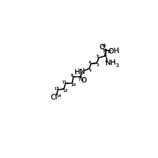 N[C@@H](CCCCNC(=O)CCCCCCl)C(=O)O